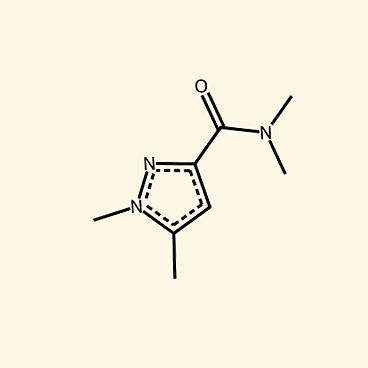 Cc1cc(C(=O)N(C)C)nn1C